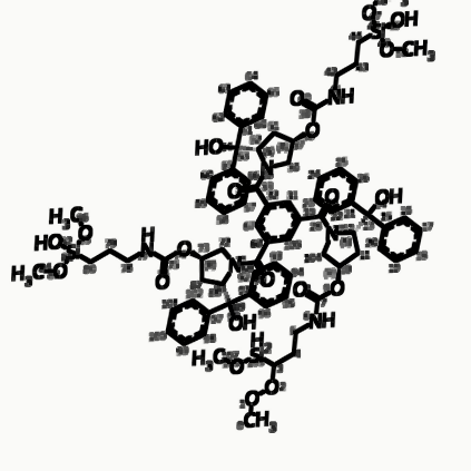 COOC(CCNC(=O)O[C@@H]1C[C@@H](C(O)(c2ccccc2)c2ccccc2)N(C(=O)c2cc(C(=O)N3C[C@H](OC(=O)NCCC[Si](O)(OC)OC)C[C@H]3C(O)(c3ccccc3)c3ccccc3)cc(C(=O)N3C[C@H](OC(=O)NCCC[Si](O)(OC)OC)C[C@H]3C(O)(c3ccccc3)c3ccccc3)c2)C1)[SiH2]OC